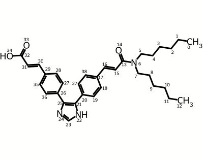 CCCCCCN(CCCCCC)C(=O)/C=C/c1ccc(-c2[nH]cnc2-c2ccc(/C=C/C(=O)O)cc2)cc1